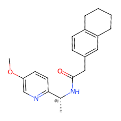 COc1ccc([C@@H](C)NC(=O)Cc2ccc3c(c2)CCCC3)nc1